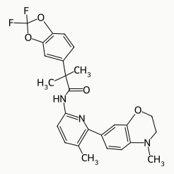 Cc1ccc(NC(=O)C(C)(C)c2ccc3c(c2)OC(F)(F)O3)nc1-c1ccc2c(c1)OCCN2C